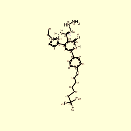 CCn1ccc(-c2cc(-c3ccc(OCCCCCC(F)(F)F)cc3)[nH]c(=O)c2/C(N)=N/NN)n1